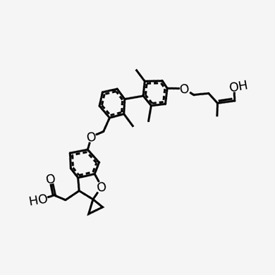 C/C(=C/O)CCOc1cc(C)c(-c2cccc(COc3ccc4c(c3)OC3(CC3)C4CC(=O)O)c2C)c(C)c1